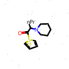 CCCC(C(=O)[SH]1C=CC=C1)N1CCCCC1